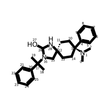 CN(C)[C@]1(c2ccccc2)CC[C@]2(CC1)CN(C(C)(C)c1ccccc1)C(O)N2